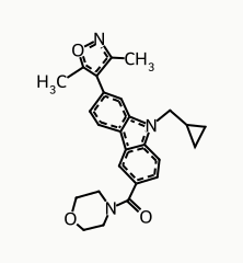 Cc1noc(C)c1-c1ccc2c3cc(C(=O)N4CCOCC4)ccc3n(CC3CC3)c2c1